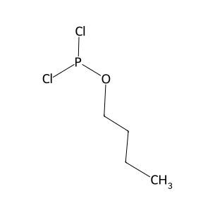 CCCCOP(Cl)Cl